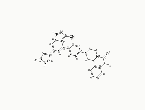 CC(C(=O)N1CCN(c2ccc(-c3nc(-c4cnn(C)c4)cn4ncc(C#N)c34)cn2)CC1)c1ccccc1